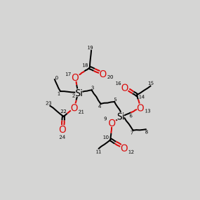 CC[Si](CCC[Si](CC)(OC(C)=O)OC(C)=O)(OC(C)=O)OC(C)=O